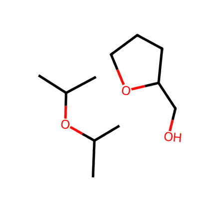 CC(C)OC(C)C.OCC1CCCO1